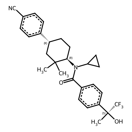 CC1(C)C[C@H](c2ccc(C#N)cc2)CC[C@H]1N(C(=O)c1ccc([C@](C)(O)C(F)(F)F)cc1)C1CC1